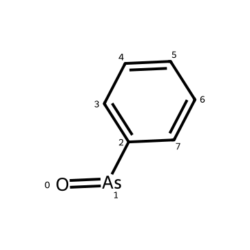 O=[As]c1ccccc1